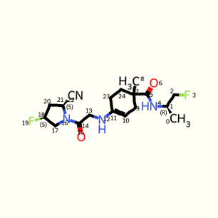 C[C@H](CF)NC(=O)C1(C)CC=C(NCC(=O)N2C[C@@H](F)C[C@H]2C#N)CC1